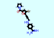 N=C(N)c1ccc(NCC#Cc2oc(C(=O)N3CCCC3)cc2Br)cc1